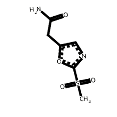 CS(=O)(=O)c1ncc([CH]C(N)=O)o1